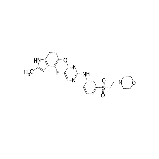 Cc1cc2c(F)c(Oc3ccnc(Nc4cccc(S(=O)(=O)CCN5CCOCC5)c4)n3)ccc2[nH]1